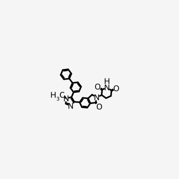 Cn1cnc(-c2ccc3c(c2)CN(C2CCC(=O)NC2=O)C3=O)c1-c1cccc(-c2ccccc2)c1